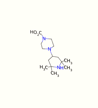 CC1(C)CC(N2CCN(C(=O)O)CC2)CC(C)(C)N1